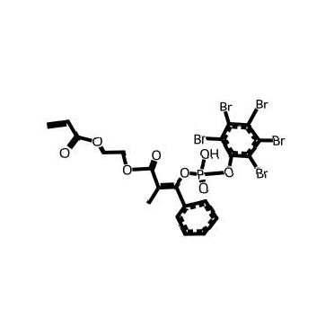 C=CC(=O)OCCOC(=O)C(C)=C(OP(=O)(O)Oc1c(Br)c(Br)c(Br)c(Br)c1Br)c1ccccc1